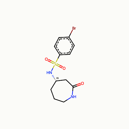 O=C1C[C@@H](NS(=O)(=O)c2ccc(Br)cc2)CCCN1